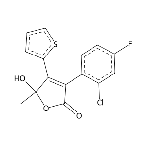 CC1(O)OC(=O)C(c2ccc(F)cc2Cl)=C1c1cccs1